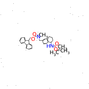 CN(Cc1ccc2c(c1)CCCC2NC(=O)OC(C)(C)C)C(=O)OCC1c2ccccc2-c2ccccc21